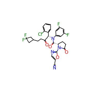 N#Cc1cnc(N2C(=O)CC[C@H]2C(=O)N(c2cc(F)cc(F)c2)[C@H](C(=O)CCC2CC(F)(F)C2)c2ccccc2Cl)o1